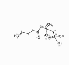 C=CCCC(=O)OC(C)(C)CS(=O)(=O)O